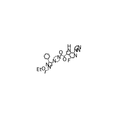 C=C(Cn1cc(N2CCN(C(=O)C(=O)c3c[nH]c4c(-n5ccnn5)ncc(F)c34)CC2)c(-c2ccccc2)n1)OCC